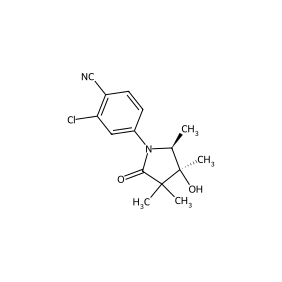 C[C@@H]1N(c2ccc(C#N)c(Cl)c2)C(=O)C(C)(C)[C@]1(C)O